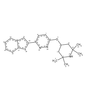 CC1(C)CC(Oc2ccc(-c3cc4ccccc4s3)nn2)CC(C)(C)N1